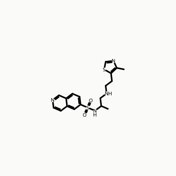 Cc1ncsc1CCNCC(C)NS(=O)(=O)c1ccc2cnccc2c1